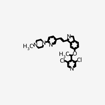 CC(Oc1ccc2c(c1)C(/C=C/c1ccc(N3CCN(C)CC3)nc1)=NC2)c1c(Cl)cncc1Cl